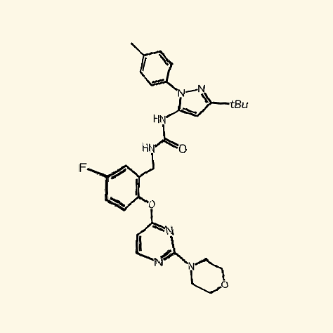 Cc1ccc(-n2nc(C(C)(C)C)cc2NC(=O)NCc2cc(F)ccc2Oc2ccnc(N3CCOCC3)n2)cc1